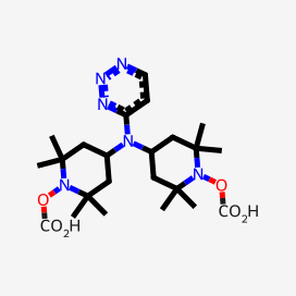 CC1(C)CC(N(c2ccnnn2)C2CC(C)(C)N(OC(=O)O)C(C)(C)C2)CC(C)(C)N1OC(=O)O